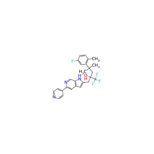 Cc1ccc(F)cc1C(C)(C)CC(O)(Cc1cc2cc(-c3ccncc3)ncc2[nH]1)C(F)(F)F